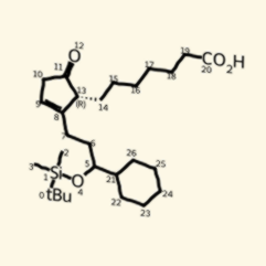 CC(C)(C)[Si](C)(C)OC(CCC1=CCC(=O)[C@@H]1CCCCCCC(=O)O)C1CCCCC1